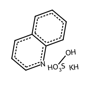 O=S(=O)(O)O.[KH].c1ccc2ncccc2c1